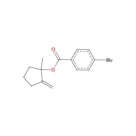 C=C1CCCC1(C)OC(=O)c1ccc(C(C)CC)cc1